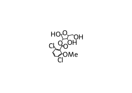 COc1c(Cl)ccc(Cl)c1C(=O)OC1C(O)OC(CO)C1O